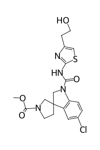 COC(=O)N1CCC2(C1)CN(C(=O)Nc1nc(CCO)cs1)c1ccc(Cl)cc12